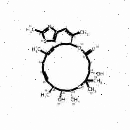 C/C1=C/C[C@@H](/C(C)=C\c2csc(C)n2)OC(=O)C[C@H](O)C(C)(C)S[C@H](C)[C@@H](O)[C@@H](C)/C=C\C1